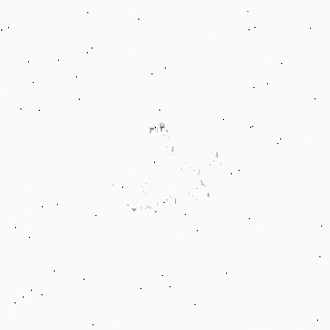 CCOC(=O)CCCCCCN1C(=O)CC[C@@H]1/C=C/[C@@H](OC(=O)Cc1ccc(COC(=O)NC(CC(C)C)C(=O)N[C@@H](CCCNC(=N)N)C(=O)Nc2ccc(COC(=O)NCCCC(O)(P(=O)(O)O)P(=O)(O)O)cc2)cc1)C(F)(F)c1ccccc1